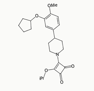 COc1ccc(C2CCN(c3c(OC(C)C)c(=O)c3=O)CC2)cc1OC1CCCC1